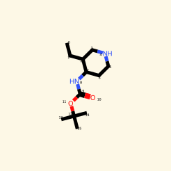 CCC1CNCCC1NC(=O)OC(C)(C)C